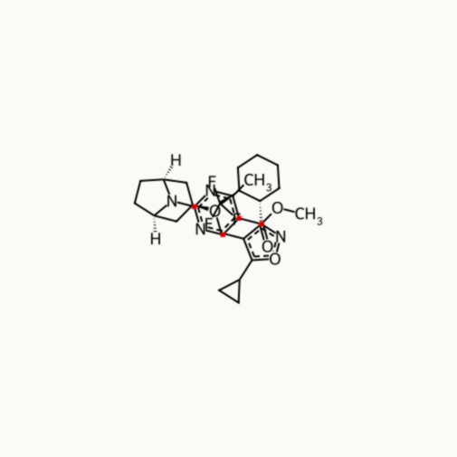 COC(=O)c1cnc(N2[C@@H]3CC[C@H]2C[C@@H](OCc2c([C@H]4CCCC[C@@H]4C(F)(F)F)noc2C2CC2)C3)nc1C